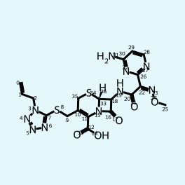 C=CCn1nnnc1SCC1=C(C(=O)O)N2C(=O)C(NC(=O)/C(=N\OC)c3nccc(N)n3)[C@H]2SC1